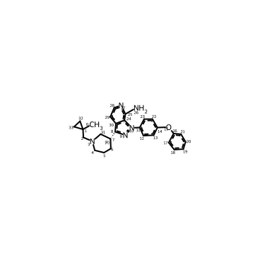 CC1(CN2CCC[C@@H](c3nn(-c4ccc(Oc5ccccc5)cc4)c4c(N)nccc34)C2)CC1